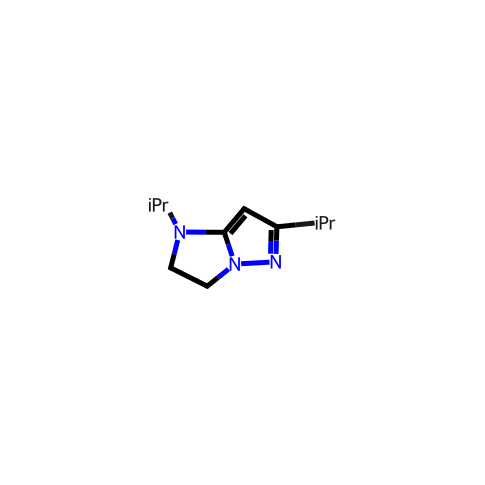 CC(C)c1cc2n(n1)CCN2C(C)C